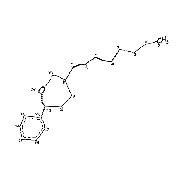 CCCCCCCCC1CCC(c2ccccc2)OC1